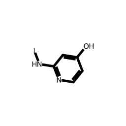 Oc1ccnc(NI)c1